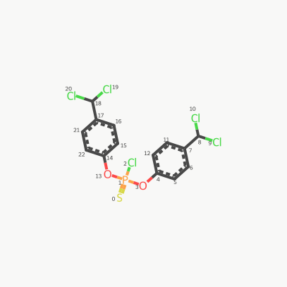 S=P(Cl)(Oc1ccc(C(Cl)Cl)cc1)Oc1ccc(C(Cl)Cl)cc1